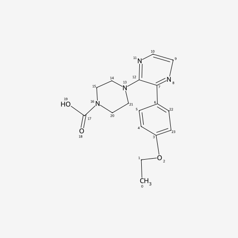 CCOc1ccc(-c2nccnc2N2CCN(C(=O)O)CC2)cc1